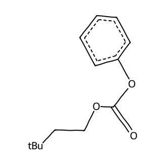 CC(C)(C)CCOC(=O)Oc1ccccc1